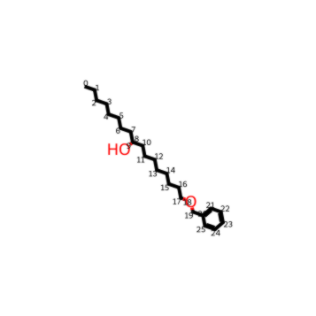 CCCCCCCCC(O)CCCCCCCCOCc1ccccc1